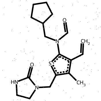 C=Cc1c(N(C=O)CC2CCCC2)sc(CN2CCNC2=O)c1C